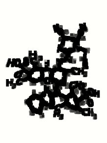 Cc1cc(N(c2nc3ccccc3s2)c2c(C)cc(C)c(S(=O)(=O)O)c2C)nc(Nc2c(C)cc(C)c(S(=O)(=O)O)c2C)c1N=Nc1nc(C#N)c(C#N)n1CC#N